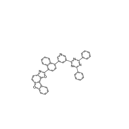 c1ccc(-c2nc(-c3ccccc3)nc(-c3cncc(-c4ccc(-c5nc6ccc7oc8ccccc8c7c6o5)c5ccccc45)c3)n2)cc1